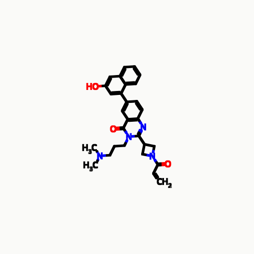 C=CC(=O)N1CC(c2nc3ccc(-c4cc(O)cc5ccccc45)cc3c(=O)n2CCCN(C)C)C1